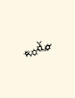 Cc1ccc(Nc2cc(N(C)C)nc(N3CCN(Cc4ccco4)CC3)n2)cc1